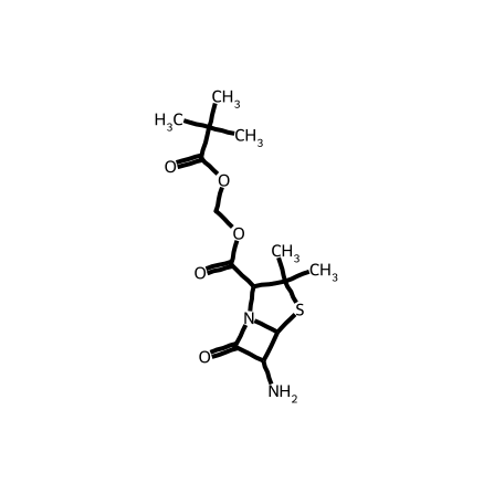 CC(C)(C)C(=O)OCOC(=O)C1N2C(=O)C(N)C2SC1(C)C